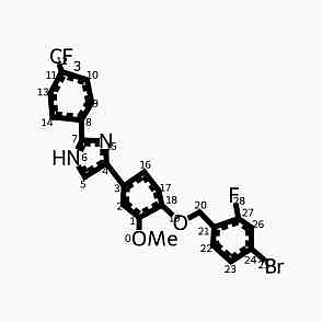 COc1cc(-c2c[nH]c(-c3ccc(C(F)(F)F)cc3)n2)ccc1OCc1ccc(Br)cc1F